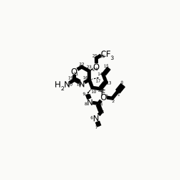 C#CCOC(=C/N=C)/N=C\[C@@H](/C(F)=C\C=C)[C@@]1(C)N=C(N)OC[C@@H]1OCC(F)(F)F